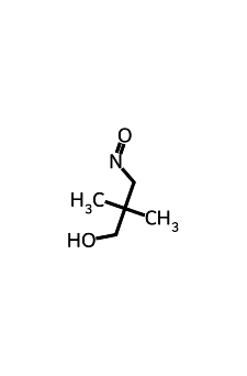 CC(C)(CO)CN=O